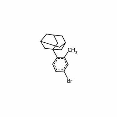 Cc1cc(Br)ccc1C12CC3CC(CC(C3)C1)C2